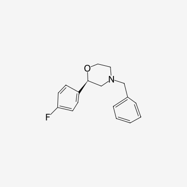 Fc1ccc([C@@H]2CN(Cc3ccccc3)CCO2)cc1